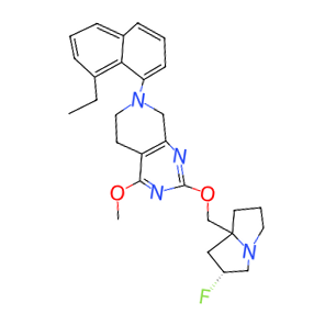 CCc1cccc2cccc(N3CCc4c(nc(OCC56CCCN5C[C@H](F)C6)nc4OC)C3)c12